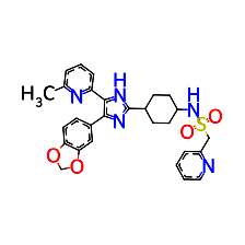 Cc1cccc(-c2[nH]c(C3CCC(NS(=O)(=O)Cc4ccccn4)CC3)nc2-c2ccc3c(c2)OCO3)n1